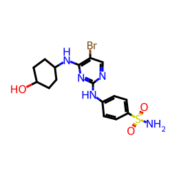 NS(=O)(=O)c1ccc(Nc2ncc(Br)c(NC3CCC(O)CC3)n2)cc1